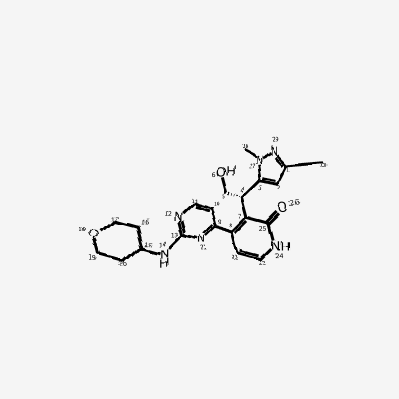 Cc1cc([C@@H](CO)c2c(-c3ccnc(NC4CCOCC4)n3)cc[nH]c2=O)n(C)n1